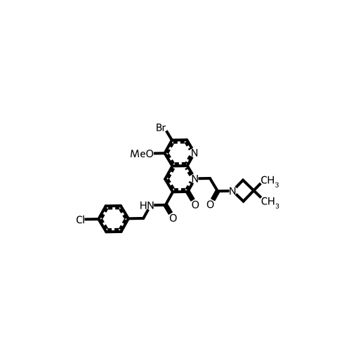 COc1c(Br)cnc2c1cc(C(=O)NCc1ccc(Cl)cc1)c(=O)n2CC(=O)N1CC(C)(C)C1